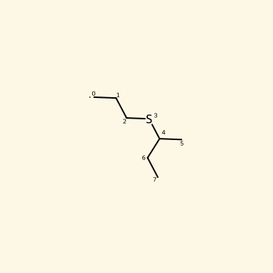 [CH2]CCSC(C)CC